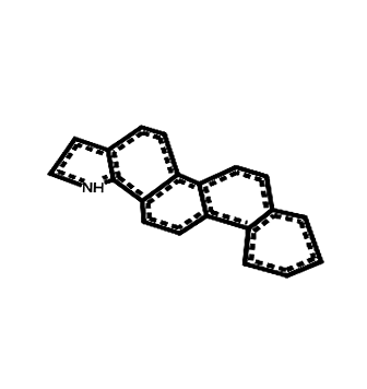 c1ccc2c(c1)ccc1c2ccc2c1ccc1cc[nH]c12